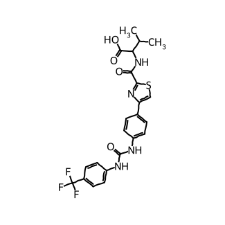 CC(C)C(NC(=O)c1nc(-c2ccc(NC(=O)Nc3ccc(C(F)(F)F)cc3)cc2)cs1)C(=O)O